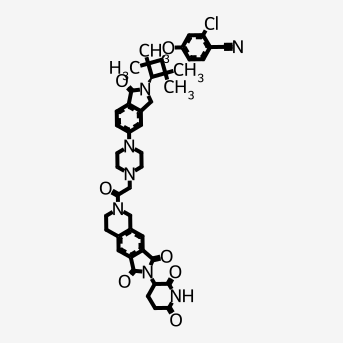 CC1(C)[C@H](Oc2ccc(C#N)c(Cl)c2)C(C)(C)[C@H]1N1Cc2cc(N3CCN(CC(=O)N4CCc5cc6c(cc5C4)C(=O)N(C4CCC(=O)NC4=O)C6=O)CC3)ccc2C1=O